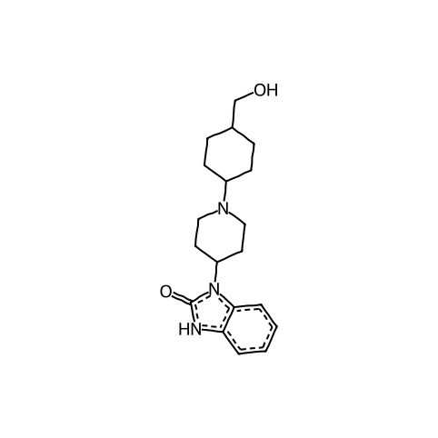 O=c1[nH]c2ccccc2n1C1CCN(C2CCC(CO)CC2)CC1